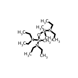 CCN(CC)[Si](C)(C)O[Si](C)(N(CC)CC)N(CC)CC